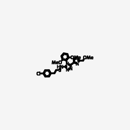 COCc1nc(-c2nnc(NSCCc3ccc(Cl)cc3)n2-c2c(OC)cccc2OC)cs1